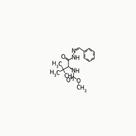 COC(=O)N[C@H](C(=O)N/N=C\c1ccccc1)C(C)(C)C